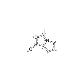 O=c1o[nH]n2cccc12